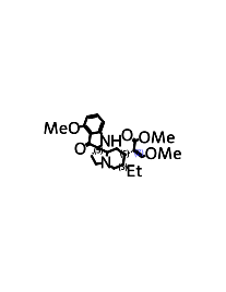 CC[C@@H]1CN2CC[C@]3(Nc4cccc(OC)c4C3=O)C2C[C@@H]1/C(=C/OC)C(=O)OC